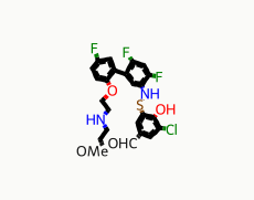 COCCNCCOc1ccc(F)cc1-c1cc(NSc2cc(C=O)cc(Cl)c2O)c(F)cc1F